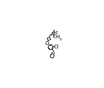 CC(=O)N(C)CC1CC(Oc2ccc(CN3CCCC3)c(Cl)c2)C1